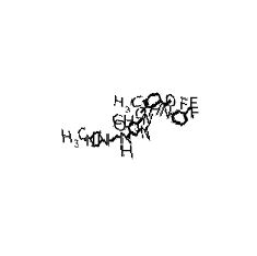 CCN1CCN(CCNc2cc3ncnc(Oc4cc(C(=O)Nc5cccc(C(F)(F)F)c5)ccc4C)c3cc2OC)CC1